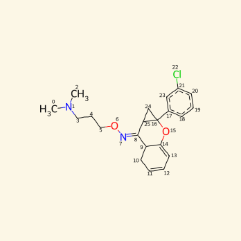 CN(C)CCCON=C1C2CC=CC=C2OC2(c3cccc(Cl)c3)CC12